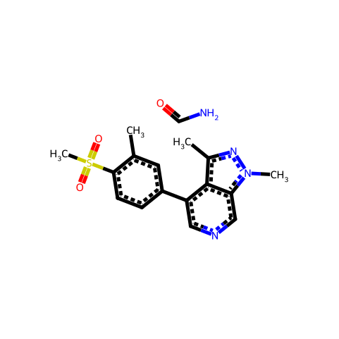 Cc1cc(-c2cncc3c2c(C)nn3C)ccc1S(C)(=O)=O.NC=O